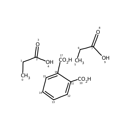 CCC(=O)O.CCC(=O)O.O=C(O)c1ccccc1C(=O)O